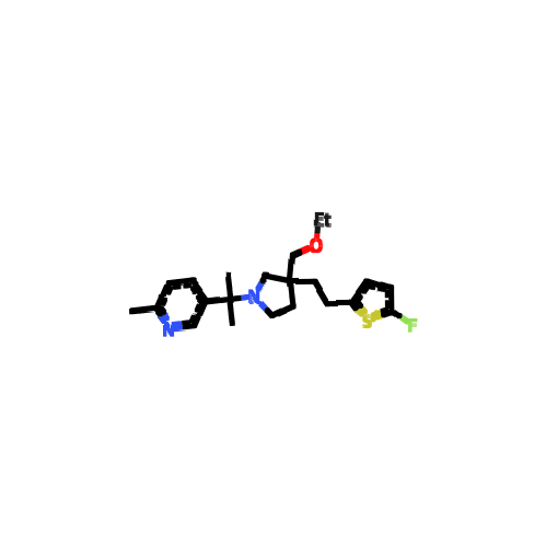 CCOCC1(CCc2ccc(F)s2)CCN(C(C)(C)c2ccc(C)nc2)C1